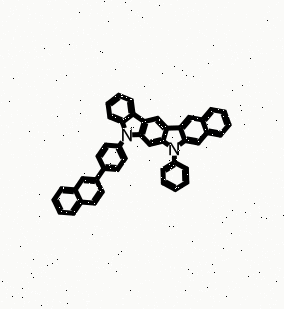 c1ccc(-n2c3cc4ccccc4cc3c3cc4c5ccccc5n(-c5ccc(-c6ccc7ccccc7c6)cc5)c4cc32)cc1